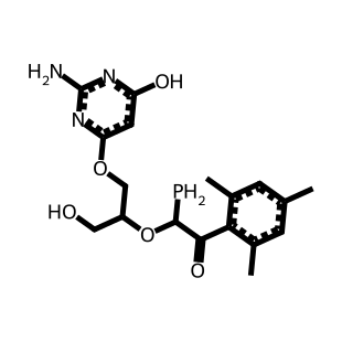 Cc1cc(C)c(C(=O)C(P)OC(CO)COc2cc(O)nc(N)n2)c(C)c1